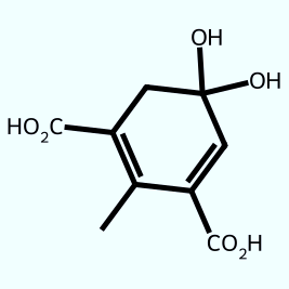 CC1=C(C(=O)O)CC(O)(O)C=C1C(=O)O